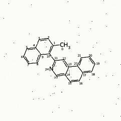 Cc1ccc2ccccc2c1-c1cc2c(ccc3ccccc32)cn1